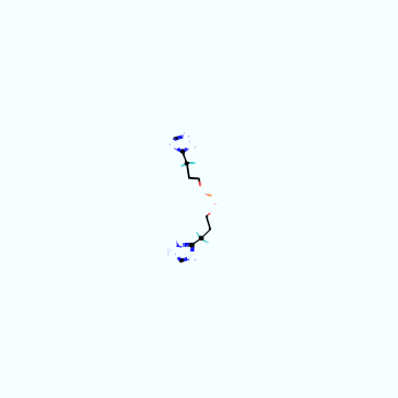 O=[PH](OCCC(F)(F)c1nc[nH]n1)OCCC(F)(F)c1nc[nH]n1